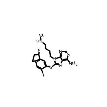 CCNCCCCn1c(Sc2cc3c(cc2I)CCC3F)nc2c(N)ncnc21